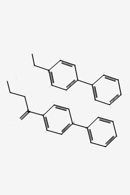 O=C(O)CCC(=O)c1ccc(-c2ccccc2)cc1.O=C(O)Cc1ccc(-c2ccccc2)cc1